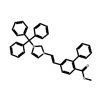 COC(=O)c1ccc(C=CN2C=CN(C(c3ccccc3)(c3ccccc3)c3ccccc3)C2)cc1-c1ccccc1